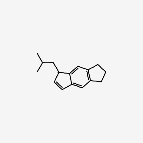 CC(C)C[C]1C=Cc2cc3c(cc21)CCC3